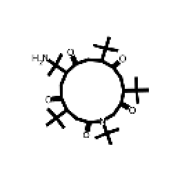 CC(C)(C)C1CC(=O)C(C(C)(C)C)CC(=O)C(C(C)(C)N)CC(=O)C(C(C)(C)C)CC(=O)N(C(C)(C)C)CC1=O